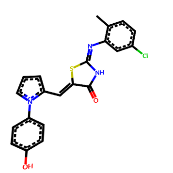 Cc1ccc(Cl)cc1/N=C1\NC(=O)/C(=C/c2cccn2-c2ccc(O)cc2)S1